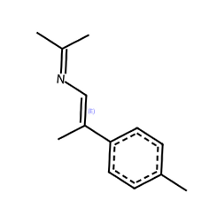 CC(C)=N/C=C(\C)c1ccc(C)cc1